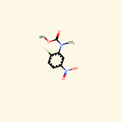 CN(C(=O)OC(C)(C)C)c1cc([N+](=O)O)ccc1F